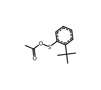 CC(=O)OSc1ccccc1C(C)(C)C